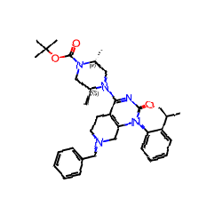 CC(C)c1ccccc1-n1c2c(c(N3C[C@@H](C)N(C(=O)OC(C)(C)C)C[C@@H]3C)nc1=O)CCN(Cc1ccccc1)C2